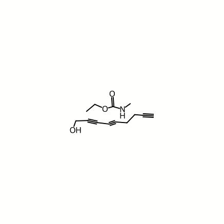 C#CCCC#CC#CCO.CCOC(=O)NC